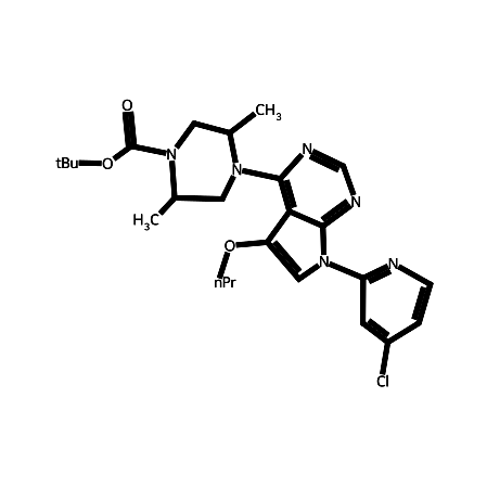 CCCOc1cn(-c2cc(Cl)ccn2)c2ncnc(N3CC(C)N(C(=O)OC(C)(C)C)CC3C)c12